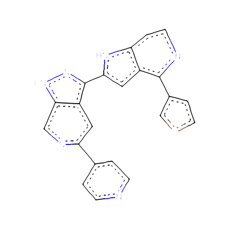 c1cc(-c2cc3c(-c4cc5c(-c6ccsc6)nccc5[nH]4)n[nH]c3cn2)ccn1